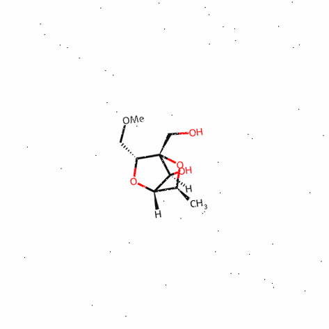 COC[C@H]1O[C@H]2[C@H](C)O[C@]1(CO)[C@H]2O